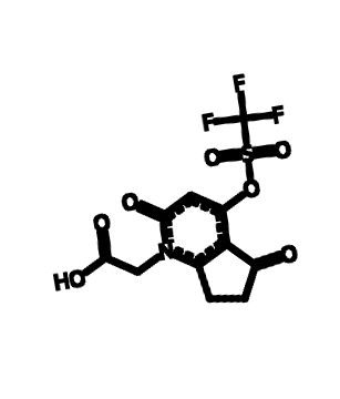 O=C(O)Cn1c2c(c(OS(=O)(=O)C(F)(F)F)cc1=O)C(=O)CC2